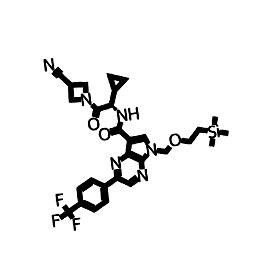 C[Si](C)(C)CCOCn1cc(C(=O)N[C@@H](C(=O)N2CC(C#N)C2)C2CC2)c2nc(-c3ccc(C(F)(F)F)cc3)cnc21